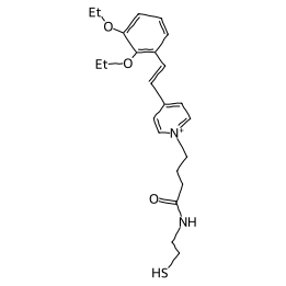 CCOc1cccc(/C=C/c2cc[n+](CCCC(=O)NCCS)cc2)c1OCC